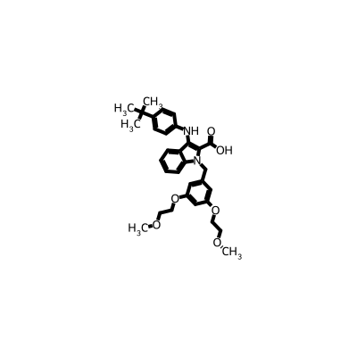 COCCOc1cc(Cn2c(C(=O)O)c(Nc3ccc(C(C)(C)C)cc3)c3ccccc32)cc(OCCOC)c1